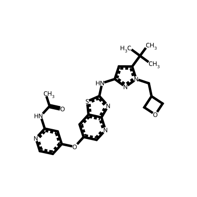 CC(=O)Nc1cc(Oc2cnc3nc(Nc4cc(C(C)(C)C)n(CC5COC5)n4)sc3c2)ccn1